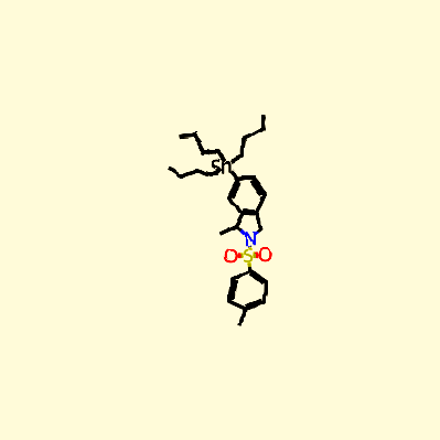 CCC[CH2][Sn]([CH2]CCC)([CH2]CCC)[c]1ccc2c(c1)C(C)N(S(=O)(=O)c1ccc(C)cc1)C2